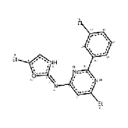 CCc1cc(/N=c2\[nH]cc(CC)o2)nc(-c2cccc(Cl)c2)n1